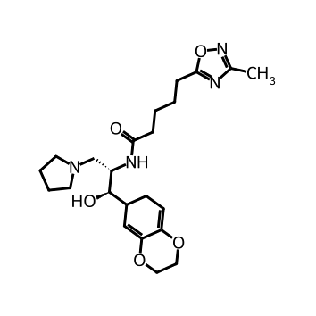 Cc1noc(CCCCC(=O)N[C@@H](CN2CCCC2)[C@H](O)C2C=C3OCCOC3=CC2)n1